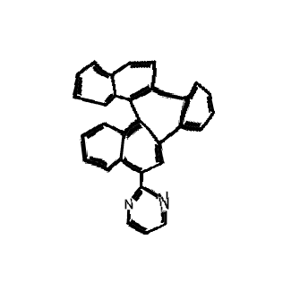 c1cnc(-c2cc3c4ccccc4c4ccc5ccccc5c4c3c3ccccc23)nc1